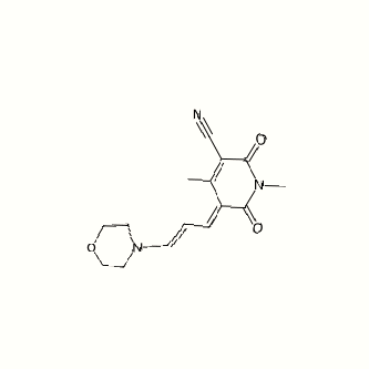 CC1=C(C#N)C(=O)N(C)C(=O)/C1=C/C=C/N1CCOCC1